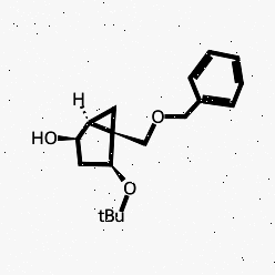 CC(C)(C)O[C@H]1C[C@@H](O)[C@H]2C[C@]12COCc1ccccc1